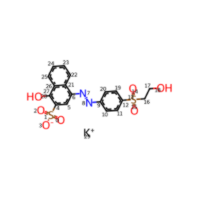 O=S(=O)([O-])c1cc(N=Nc2ccc(S(=O)(=O)CCO)cc2)c2ccccc2c1O.[K+]